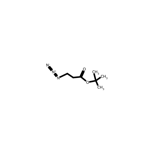 CC(C)(C)OC(=O)CCN=[N+]=[N-]